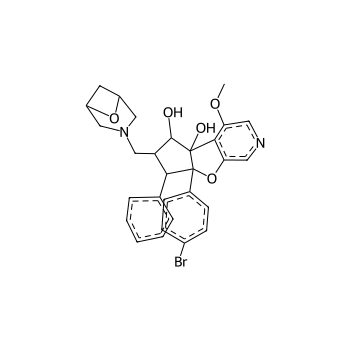 COc1cncc2c1C1(O)C(O)C(CN3CC4CC(C3)O4)C(c3ccccc3)C1(c1ccc(Br)cc1)O2